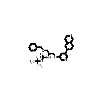 CC(C)(C)OC(=O)NC(COCc1ccccc1)COc1cncc(-c2ccc3cnccc3c2)c1